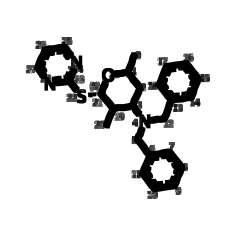 CC1CC(N(Cc2ccccc2)Cc2ccccc2)C(C)[C@H](Sc2ncccn2)O1